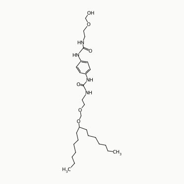 CCCCCCCC(CCCCCCC)OCOCCNC(=O)Nc1ccc(NC(=O)NCCOCO)cc1